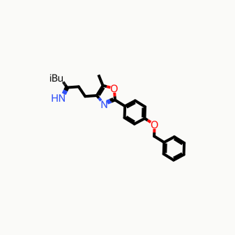 CCC(C)C(=N)CCc1nc(-c2ccc(OCc3ccccc3)cc2)oc1C